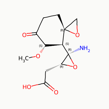 CO[C@@H]1C(=O)CC[C@]2(CO2)[C@H]1[C@@]1(N)O[C@@H]1CC(=O)O